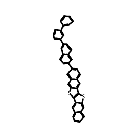 c1ccc(-c2cccc(-c3ccc4cc(-c5ccc6cc7c(cc6c5)sc5c6cc8ccccc8cc6sc75)ccc4c3)c2)cc1